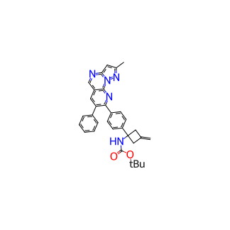 C=C1CC(NC(=O)OC(C)(C)C)(c2ccc(-c3nc4c(cnc5cc(C)nn54)cc3-c3ccccc3)cc2)C1